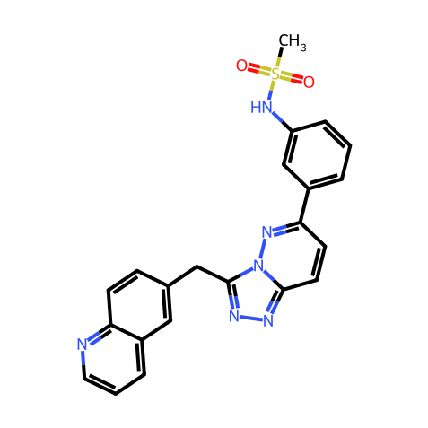 CS(=O)(=O)Nc1cccc(-c2ccc3nnc(Cc4ccc5ncccc5c4)n3n2)c1